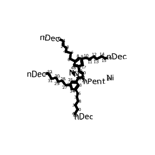 CCCCCCCCCCCCCCCCc1cc(CCCCCCCCCCCCCCCC)cc(C2=CC(CCCCC)=C(c3cc(CCCCCCCCCCCCCCCC)cc(CCCCCCCCCCCCCCCC)c3)[N+]2=[N-])c1.[Ni]